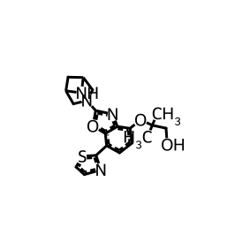 CC(C)(CO)Oc1ccc(-c2nccs2)c2oc(N3CC4CC(C3)N4)nc12